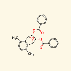 Cc1ccc(C)c2c1C1OC2C(OC(=O)c2ccccc2)C1OC(=O)c1ccccc1